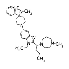 CCCC(c1nc2cc(N3CCC(c4ccccc4)(N(C)C)CC3)ccc2n1CC)N1CCCN(C)CC1